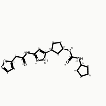 O=C(Cc1ccno1)Nc1cc([C@H]2CC[C@@H](OC(=O)NC3CCCC3)C2)[nH]n1